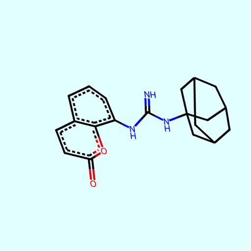 N=C(Nc1cccc2ccc(=O)oc12)NC12CC3CC(CC(C3)C1)C2